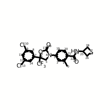 Cc1cc(N2CC(c3cc(Cl)cc(Cl)c3)(C(F)(F)F)OC2=O)ccc1C(=O)NC1CSC1